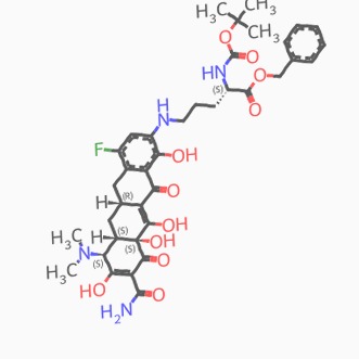 CN(C)[C@@H]1C(O)=C(C(N)=O)C(=O)[C@@]2(O)C(O)=C3C(=O)c4c(O)c(NCCC[C@H](NC(=O)OC(C)(C)C)C(=O)OCc5ccccc5)cc(F)c4C[C@H]3C[C@@H]12